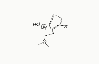 CN(C)CCC1=[C]([Ti])CC=C1.Cl.Cl